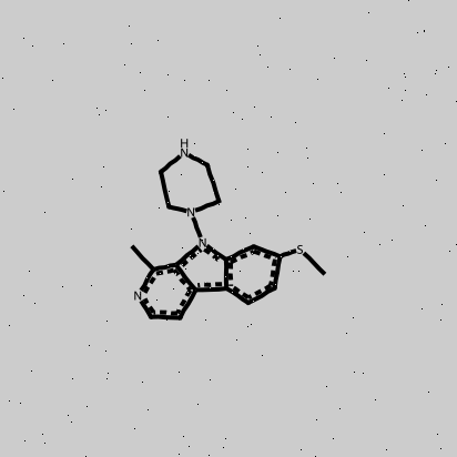 CSc1ccc2c3ccnc(C)c3n(N3CCNCC3)c2c1